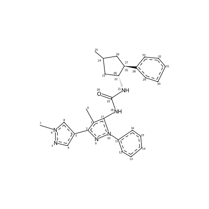 Cc1c(-c2cnn(C)c2)nn(-c2ccccc2)c1NC(=O)N[C@@H]1CC(C)C[C@H]1c1ccccc1